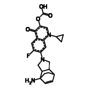 NC12C=CC(CC1)C1CN(c3cc4c(cc3F)c(=O)c(OC(=O)O)cn4C3CC3)CC12